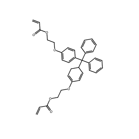 C=CC(=O)OCCOC1=CCC(C(c2ccccc2)(c2ccccc2)c2ccc(OCCOC(=O)C=C)cc2)C=C1